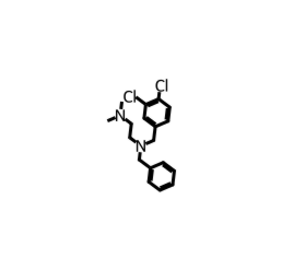 CN(C)CCN(Cc1ccccc1)Cc1ccc(Cl)c(Cl)c1